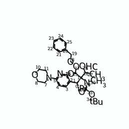 CC(C)C(c1ccc(N2CCOCC2)nc1)[C@@](C(=O)OOCc1ccccc1)(C(C)C=O)N(C)C(=O)OC(C)(C)C